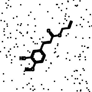 C=CCOC(=O)/C=C/c1ccc(OC)c(O)c1